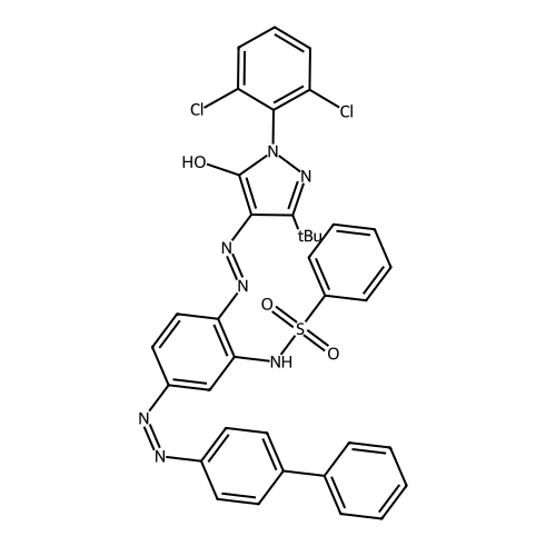 CC(C)(C)c1nn(-c2c(Cl)cccc2Cl)c(O)c1/N=N/c1ccc(/N=N\c2ccc(-c3ccccc3)cc2)cc1NS(=O)(=O)c1ccccc1